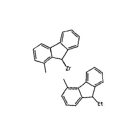 CCC1c2ccccc2-c2c(C)cccc21.Cc1cccc2c1[CH]([Zr])c1ccccc1-2